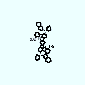 CC(C)(C)c1cccc2c3c(N(c4ccccc4)c4ccc5c(c4)CCCC5)ccc4c5cc6c(cc5n(c12)c43)c1ccc(N(c2ccccc2)c2ccc3c(c2)CCCC3)c2c3cccc(C(C)(C)C)c3n6c12